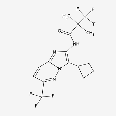 CC(C)(C(=O)Nc1nc2ccc(C(F)(F)F)nn2c1C1CCC1)C(F)(F)F